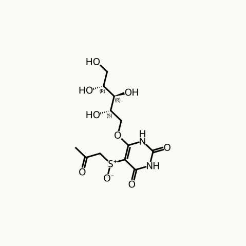 CC(=O)C[S+]([O-])c1c(OC[C@H](O)[C@H](O)[C@H](O)CO)[nH]c(=O)[nH]c1=O